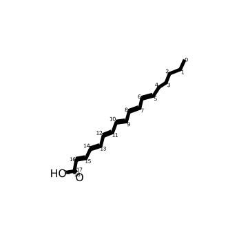 CCCCCC=CC=CC=CC=CC=CC=CC(=O)O